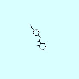 CC1CC(=O)c2c(noc2Cc2ccc(C#N)cc2)C1